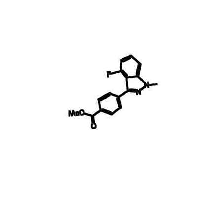 COC(=O)c1ccc(-c2nn(C)c3cccc(F)c23)cc1